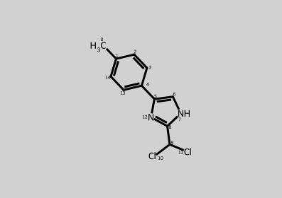 Cc1ccc(-c2c[nH]c(C(Cl)Cl)n2)cc1